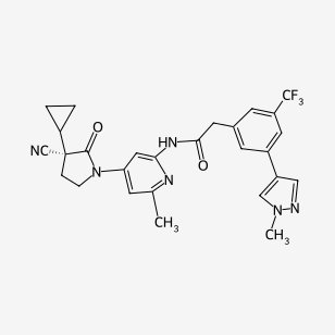 Cc1cc(N2CC[C@@](C#N)(C3CC3)C2=O)cc(NC(=O)Cc2cc(-c3cnn(C)c3)cc(C(F)(F)F)c2)n1